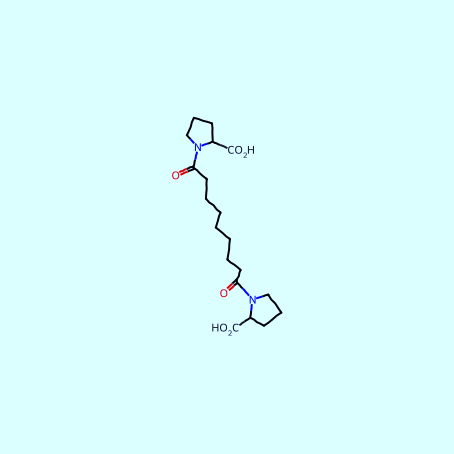 O=C(O)C1CCCN1C(=O)CCCCCCCC(=O)N1CCCC1C(=O)O